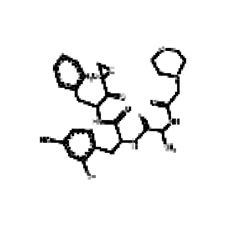 CC(NC(=O)CN1CCOCC1)C(=O)NC(Cc1ccc(O)cc1O)C(=O)NC(Cc1ccccc1)C(=O)[C@@]1(C)CO1